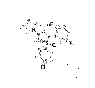 O=C(CC(c1cc(F)ccc1F)S(=O)(=O)c1ccc(Cl)cc1)N1CCCC1